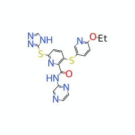 CCOc1ccc(Sc2ccc(Sc3nnc[nH]3)nc2C(=O)Nc2cnccn2)cn1